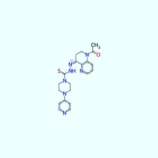 CC(=O)N1CC/C(=N/NC(=S)N2CCN(c3ccncc3)CC2)c2ncccc21